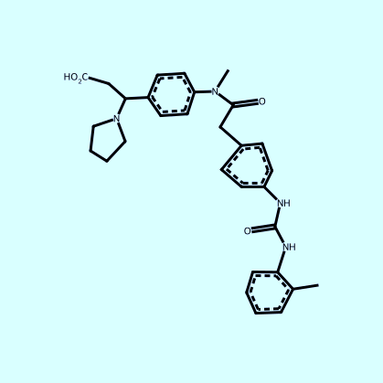 Cc1ccccc1NC(=O)Nc1ccc(CC(=O)N(C)c2ccc(C(CC(=O)O)N3CCCC3)cc2)cc1